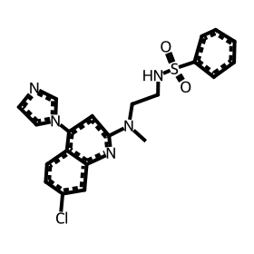 CN(CCNS(=O)(=O)c1ccccc1)c1cc(-n2ccnc2)c2ccc(Cl)cc2n1